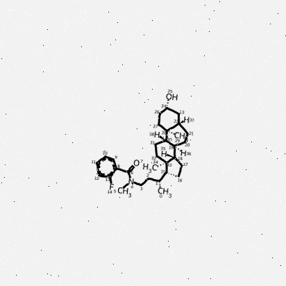 C[C@H](CCN(C)C(=O)c1ccccc1F)[C@H]1CC[C@H]2[C@@H]3CC[C@H]4C[C@@H](O)CC[C@]4(C)[C@H]3CC[C@]12C